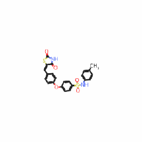 Cc1ccc(NS(=O)(=O)c2ccc(Oc3ccc(C=C4SC(=O)NC4=O)cc3)cc2)cc1